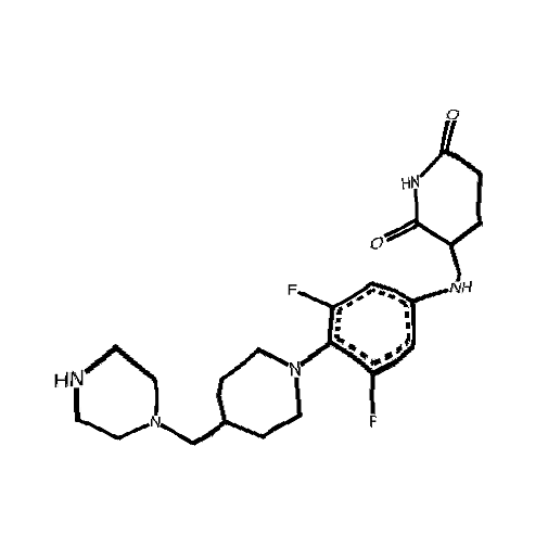 O=C1CCC(Nc2cc(F)c(N3CCC(CN4CCNCC4)CC3)c(F)c2)C(=O)N1